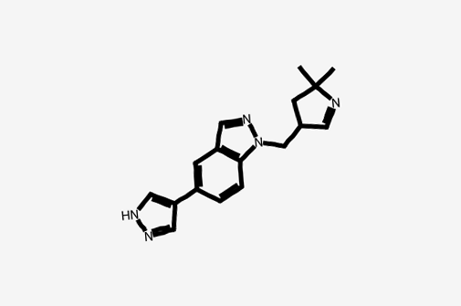 CC1(C)CC(Cn2ncc3cc(-c4cn[nH]c4)ccc32)C=N1